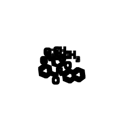 COC(=O)[C@H](CC(SC)[N+](=O)[O-])N(C(=O)c1ccccc1)c1ccc2ccccc2c1